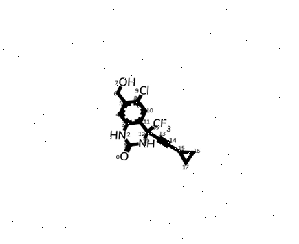 O=C1Nc2cc(CO)c(Cl)cc2C(C#CC2CC2)(C(F)(F)F)N1